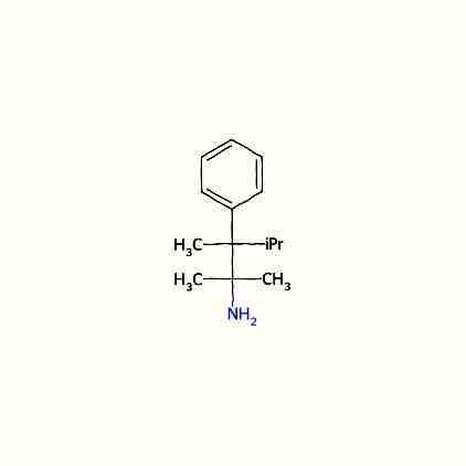 CC(C)C(C)(c1ccccc1)C(C)(C)N